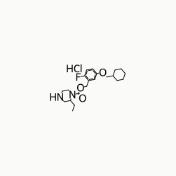 CCC1CNCCN1C(=O)OCc1cc(OCC2CCCCC2)ccc1F.Cl